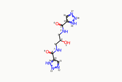 O=C(NCC(O)CNC(=O)c1cnn[nH]1)c1cnn[nH]1